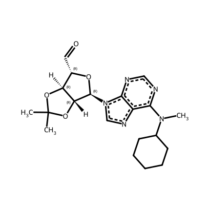 CN(c1ncnc2c1ncn2[C@@H]1O[C@@H](C=O)[C@@H]2OC(C)(C)O[C@H]21)C1CCCCC1